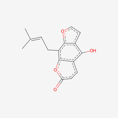 CC(C)=CCc1c2occc2c(O)c2ccc(=O)oc12